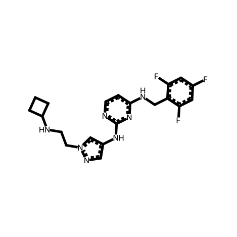 Fc1cc(F)c(CNc2ccnc(Nc3cnn(CCNC4CCC4)c3)n2)c(F)c1